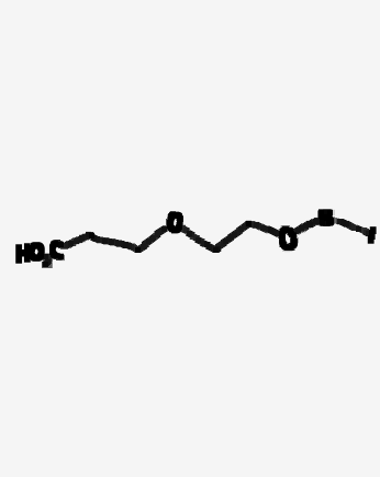 O=C(O)CCOCCOSI